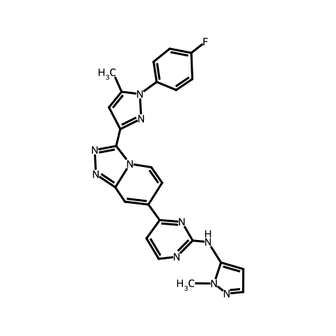 Cc1cc(-c2nnc3cc(-c4ccnc(Nc5ccnn5C)n4)ccn23)nn1-c1ccc(F)cc1